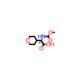 COC(=O)N[C@@H](C(=O)O)C1CCOCC1